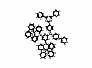 c1ccc(-c2nc(-c3ccccc3)nc(-c3ccc(N(c4ccc(-c5ccncc5)cc4)c4cc(N5c6ccccc6C(c6ccccc6)(c6ccccc6)c6ccccc65)cc(N5c6ccccc6C(c6ccccc6)(c6ccccc6)c6ccccc65)c4)cc3)n2)cc1